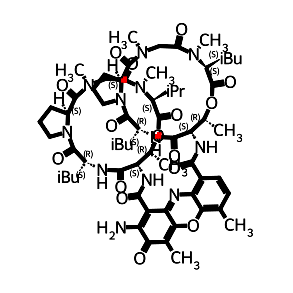 CC[C@H](C)[C@H]1C(=O)O[C@H](C)[C@H](NC(=O)c2ccc(C)c3oc4c(C)c(=O)c(N)c(C(=O)N[C@@H]5C(=O)N[C@H]([C@@H](C)CC)C(=O)N6CCC[C@H]6C(=O)N(C)CC(=O)N(C)[C@@H](C(C)C)C(=O)O[C@@H]5C)c-4nc23)C(=O)N[C@H]([C@@H](C)CC)C(=O)N2CCC[C@H]2C(=O)N(C)CC(=O)N1C